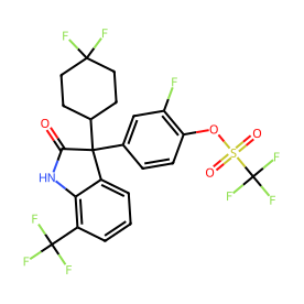 O=C1Nc2c(C(F)(F)F)cccc2C1(c1ccc(OS(=O)(=O)C(F)(F)F)c(F)c1)C1CCC(F)(F)CC1